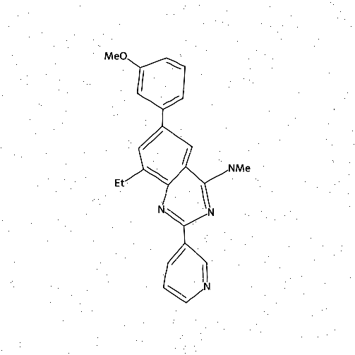 CCc1cc(-c2cccc(OC)c2)cc2c(NC)nc(-c3cccnc3)nc12